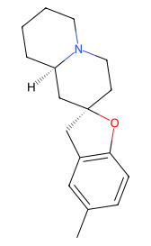 Cc1ccc2c(c1)C[C@]1(CCN3CCCC[C@@H]3C1)O2